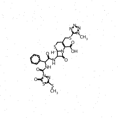 CSc1nn(C(=O)NC(C(=O)NC2C(=O)N3C(C(=O)O)=C(CSc4nnnn4C)CS[C@H]23)c2ccccc2)c(=O)s1